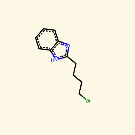 BrCCCCc1nc2ccccc2[nH]1